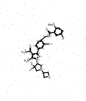 COc1ccc(F)cc1C(=O)NCc1ccc(-c2nn([C@H]3CN(C4COC4)CC3(F)F)c(N)c2C(N)=O)cc1F